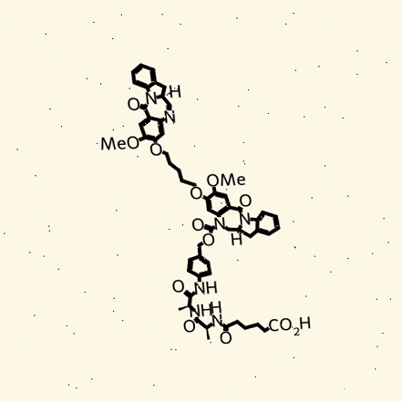 COc1cc2c(cc1OCCCCCOc1cc3c(cc1OC)C(=O)N1c4ccccc4C[C@H]1CN3C(=O)OCc1ccc(NC(=O)[C@H](C)NC(=O)[C@H](C)NC(=O)CCCCC(=O)O)cc1)N=C[C@@H]1Cc3ccccc3N1C2=O